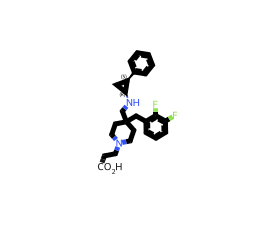 O=C(O)CCN1CCC(CN[C@@H]2C[C@H]2c2ccccc2)(Cc2cccc(F)c2F)CC1